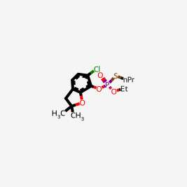 CCCSP(=O)(OCC)Oc1c(Cl)ccc2c1OC(C)(C)C2